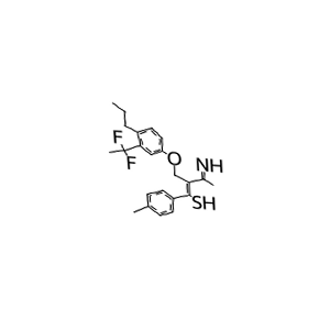 CCCc1ccc(OC/C(C(C)=N)=C(/S)c2ccc(C)cc2)cc1C(C)(F)F